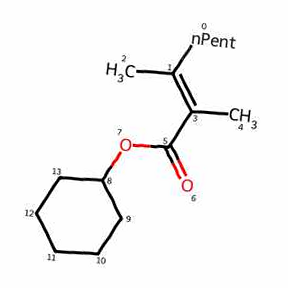 CCCCCC(C)=C(C)C(=O)OC1CCCCC1